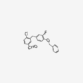 O=Cc1ccc(Cl)c(Cc2ccc(OCc3ccccc3)c(F)c2)c1